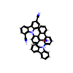 N#Cc1ccc2c(c1)c1cccc(C#N)c1n2-c1cccc(C#N)c1-c1ccccc1-c1cccc(-n2c3ccccc3c3ccccc32)c1